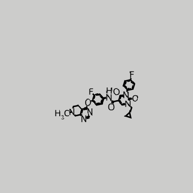 CN1CCc2c(ncnc2Oc2ccc(NC(=O)c3cn(CC4CC4)c(=O)n(-c4ccc(F)cc4)c3=O)cc2F)C1